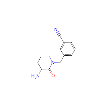 N#Cc1cccc(CN2CCCC(N)C2=O)c1